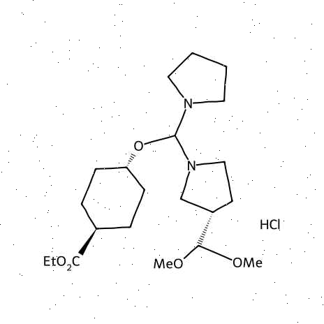 CCOC(=O)[C@H]1CC[C@H](OC(N2CCCC2)N2CC[C@H](C(OC)OC)C2)CC1.Cl